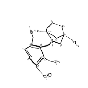 Cc1c(C=O)ccc(Br)c1N1C[C@H]2C[C@@H]1CO2